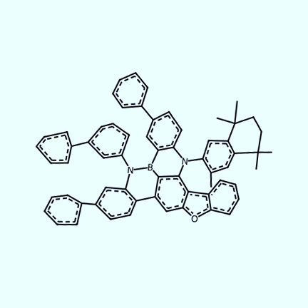 Cc1cc2c(cc1N1c3ccc(-c4ccccc4)cc3B3c4c(cc5oc6ccccc6c5c41)-c1ccc(-c4ccccc4)cc1N3c1cccc(-c3ccccc3)c1)C(C)(C)CCC2(C)C